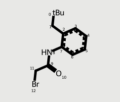 CC(C)(C)Cc1ccccc1NC(=O)CBr